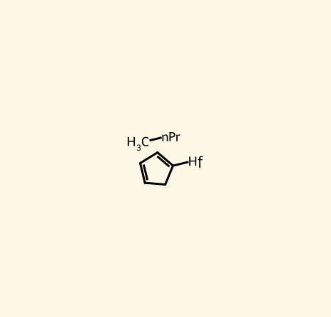 CCCC.[Hf][C]1=CC=CC1